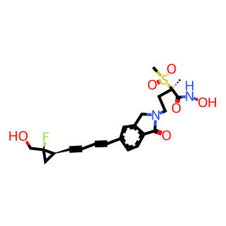 C[C@@](CCN1Cc2cc(C#CC#C[C@H]3C[C@]3(F)CO)ccc2C1=O)(C(=O)NO)S(C)(=O)=O